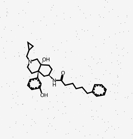 O=C(CCCCCc1ccccc1)N[C@@H]1CC[C@]2(O)CN(CC3CC3)CC[C@@]2(c2cccc(O)c2)C1